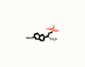 COc1ccc2cc([C@H](CCP(=O)(O)O)C(=O)O)ccc2c1